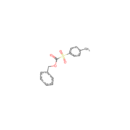 Cc1ccc(S(=O)(=O)C(=O)OCc2ccccc2)cc1